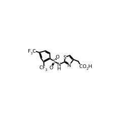 O=C(O)Cc1csc(NS(=O)(=O)c2ccc(C(F)(F)F)cc2C(F)(F)F)n1